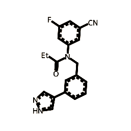 CCC(=O)N(Cc1cccc(-c2cn[nH]c2)c1)c1cc(F)cc(C#N)c1